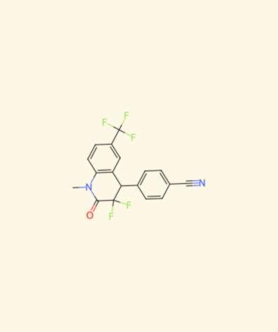 CN1C(=O)C(F)(F)C(c2ccc(C#N)cc2)c2cc(C(F)(F)F)ccc21